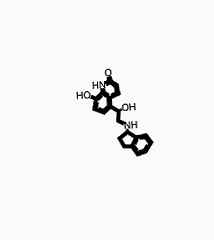 O=c1ccc2c([C@@H](O)CN[C@@H]3CCc4ccccc43)ccc(O)c2[nH]1